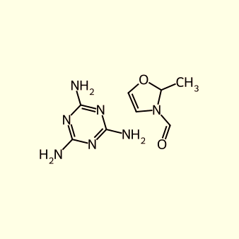 CC1OC=CN1C=O.Nc1nc(N)nc(N)n1